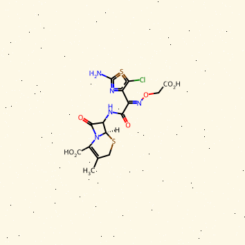 CC1=C(C(=O)O)N2C(=O)C(NC(=O)/C(=N/OCC(=O)O)c3nc(N)sc3Cl)[C@H]2SC1